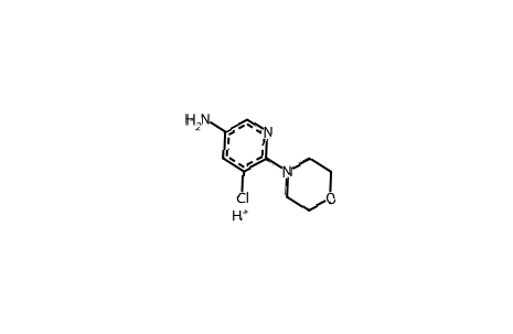 Nc1cnc(N2CCOCC2)c(Cl)c1.[H+]